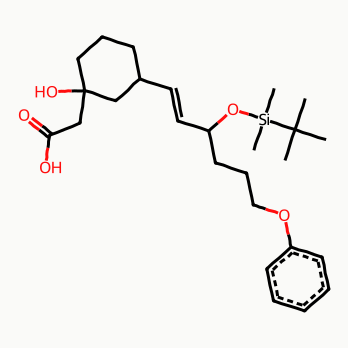 CC(C)(C)[Si](C)(C)OC(C=CC1CCCC(O)(CC(=O)O)C1)CCCOc1ccccc1